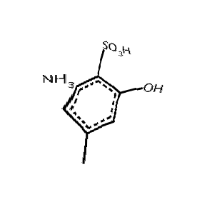 Cc1ccc(S(=O)(=O)O)c(O)c1.N